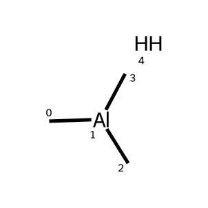 [CH3][Al]([CH3])[CH3].[HH]